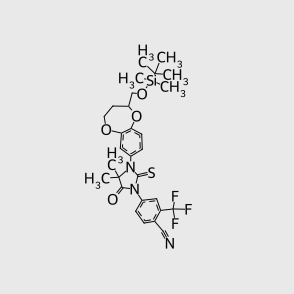 CC1(C)C(=O)N(c2ccc(C#N)c(C(F)(F)F)c2)C(=S)N1c1ccc2c(c1)OCCC(CO[Si](C)(C)C(C)(C)C)O2